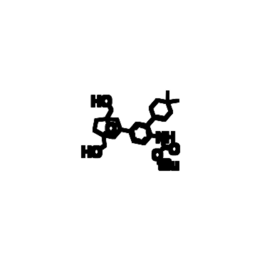 CC1(C)CC=C(c2cc(C3CC4(CO)CCC(CO)(C3)O4)ccc2NC(=O)OC(C)(C)C)CC1